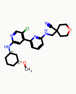 CO[C@@H]1CCC[C@@H](Nc2cc(-c3cccc(NCC4(C#N)CCOCC4)n3)c(Cl)cn2)C1